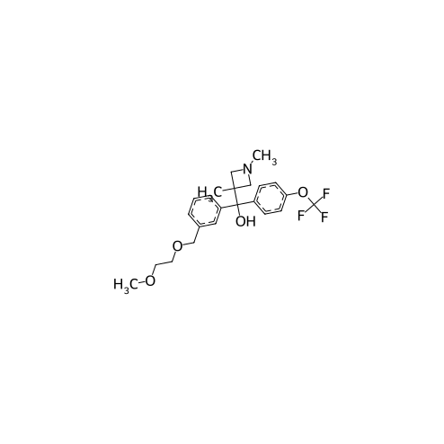 COCCOCc1cccc(C(O)(c2ccc(OC(F)(F)F)cc2)C2(C)CN(C)C2)c1